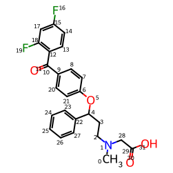 CN(CCC(Oc1ccc(C(=O)c2ccc(F)cc2F)cc1)c1ccccc1)CC(=O)O